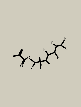 C=C(C)C(=O)OC(F)C(F)(F)C(F)C(F)C(F)C(F)C(F)F